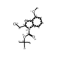 COc1cccc2c1nc(CCl)n2C(=O)OC(C)(C)C